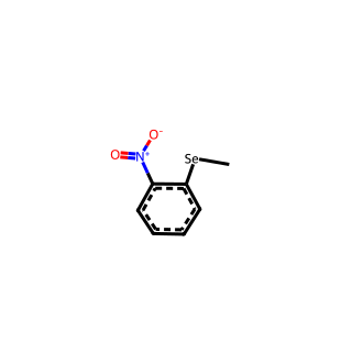 C[Se]c1ccccc1[N+](=O)[O-]